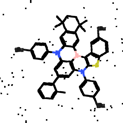 Cc1ccccc1-c1cc2c3c(c1)N(c1ccc(C(C)(C)C)cc1)c1cc4c(cc1B3c1c(sc3ccc(C(C)(C)C)cc13)N2C1=CCC(C(C)(C)C)C=C1)C(C)(C)CCC4(C)C